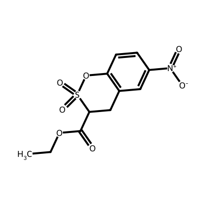 CCOC(=O)C1Cc2cc([N+](=O)[O-])ccc2OS1(=O)=O